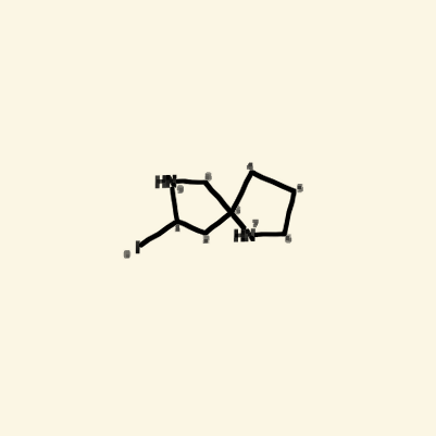 IC1CC2(CCCN2)CN1